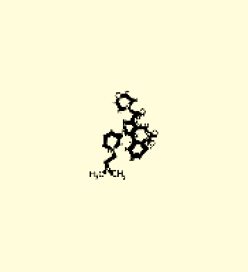 CN(C)CCN1CCCC(n2nc(C(=O)N3CCOCC3)c3c2-c2ccccc2S(=O)(=O)C3)C1